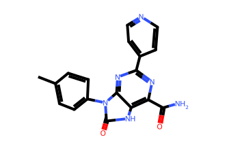 Cc1ccc(-n2c(=O)[nH]c3c(C(N)=O)nc(-c4ccncc4)nc32)cc1